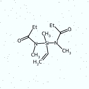 C=C[Si](C)(N(C)C(=O)CC)N(C)C(=O)CC